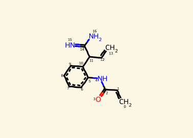 C=CC(=O)Nc1ccccc1C(C=C)C(=N)N